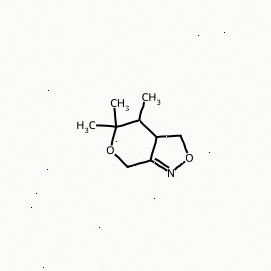 CC1C2CON=C2COC1(C)C